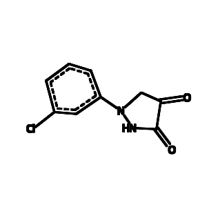 O=C1CN(c2cccc(Cl)c2)NC1=O